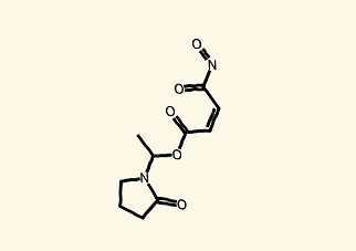 CC(OC(=O)/C=C\C(=O)N=O)N1CCCC1=O